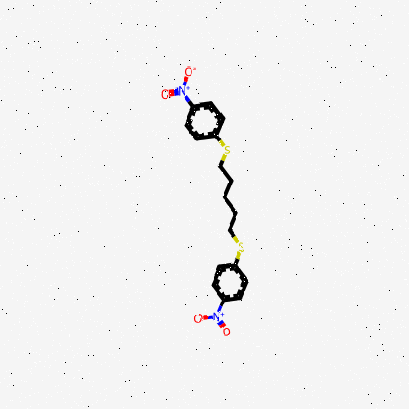 O=[N+]([O-])c1ccc(SCCCCCSc2ccc([N+](=O)[O-])cc2)cc1